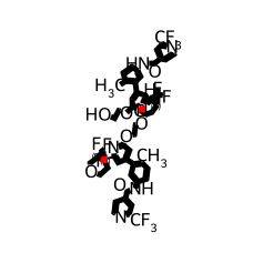 Cc1ccc(NC(=O)c2ccnc(C(F)(F)F)c2)cc1-c1cc(OCCOC2C[C@@]3(c4cc(-c5cc(NC(=O)c6ccnc(C(F)(F)F)c6)ccc5C)cc(OCCO)n4)[C@@H](CO2)C3(F)F)nc([C@@]23CCOC[C@@H]2C3(F)F)c1